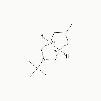 CC1C[C@@H]2CN(C(C)(C)C)C[C@@H]2C1